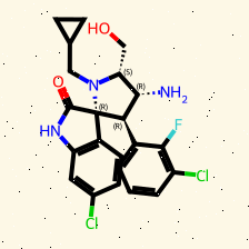 N[C@H]1[C@@H](CO)N(CC2CC2)[C@]2(C(=O)Nc3cc(Cl)ccc32)[C@@H]1c1cccc(Cl)c1F